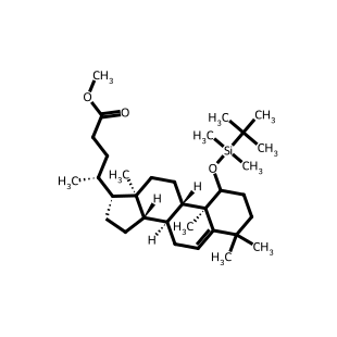 COC(=O)CC[C@@H](C)[C@H]1CC[C@H]2[C@@H]3CC=C4C(C)(C)CCC(O[Si](C)(C)C(C)(C)C)[C@]4(C)[C@H]3CC[C@]12C